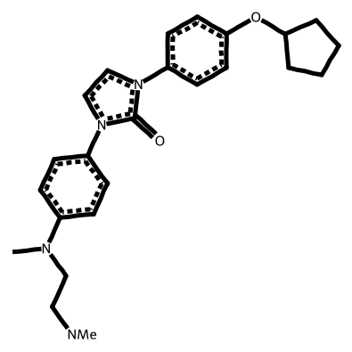 CNCCN(C)c1ccc(-n2ccn(-c3ccc(OC4CCCC4)cc3)c2=O)cc1